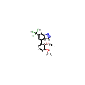 COc1cccc(-c2cc(C(F)(F)F)cc3[nH]ncc23)c1OC